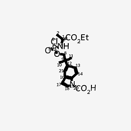 CCOC(=O)[C@H](C)NP(=O)(Cl)OCC(C)(C)c1ccc2c(ccn2C(=O)O)c1